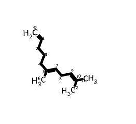 C=CCCCC(C)=CCC=C(C)C